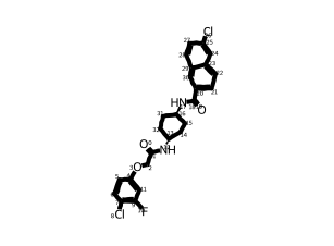 O=C(COc1ccc(Cl)c(F)c1)N[C@H]1CC[C@H](NC(=O)c2ccc3cc(Cl)ccc3c2)CC1